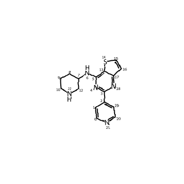 c1cc(-c2nc(NC3CCCNC3)c3sccc3n2)ccn1